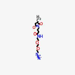 CC1CC(=O)N(CCCC(=O)NCCOCCOCCN=[N+]=[N-])C1=O